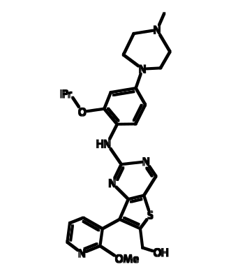 COc1ncccc1-c1c(CO)sc2cnc(Nc3ccc(N4CCN(C)CC4)cc3OC(C)C)nc12